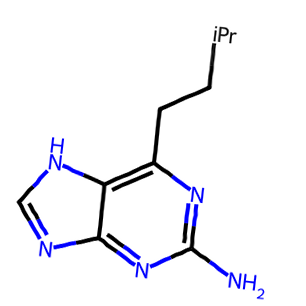 CC(C)CCc1nc(N)nc2nc[nH]c12